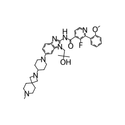 COc1ccccc1-c1nccc(C(=O)Nc2nc3ccc(N4CCC(N5CC6(CCN(C)CC6)C5)CC4)cc3n2CC(C)(C)O)c1F